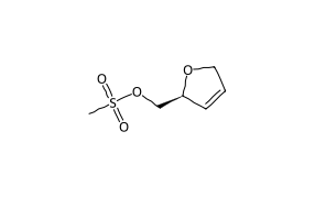 CS(=O)(=O)OC[C@@H]1C=CCO1